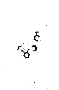 O=C(c1ccc(F)cc1-c1ncccn1)N1C[C@@H]2CC[C@H]1[C@H](Oc1ncc(C(F)(F)F)cc1F)C2